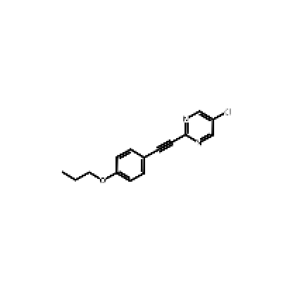 CCCOc1ccc(C#Cc2ncc(Cl)cn2)cc1